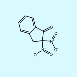 O=C1c2ccccc2CC1([N+](=O)[O-])[N+](=O)[O-]